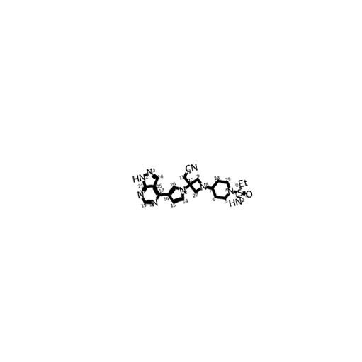 CCS(=N)(=O)N1CCC(N2CC(CC#N)(n3ccc(-c4ncnc5[nH]ncc45)c3)C2)CC1